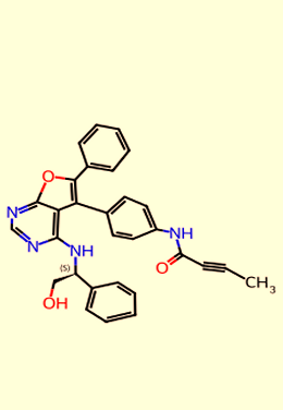 CC#CC(=O)Nc1ccc(-c2c(-c3ccccc3)oc3ncnc(N[C@H](CO)c4ccccc4)c23)cc1